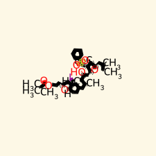 C=C([C@H](C)CC1CC[C@@H]2O[C@@H](CCCOC(=O)C(C)(C)C)C[C@]2(CI)C1)[C@H](O)C[C@@H]1O[C@H](C[C@H](C)CC)[C@H](C)[C@H]1CS(=O)(=O)c1ccccc1